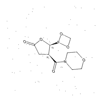 O=C1C[C@H](C(=O)N2CCOCC2)[C@H](P2OCO2)O1